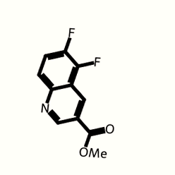 COC(=O)c1cnc2ccc(F)c(F)c2c1